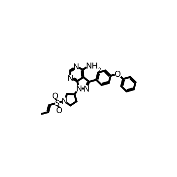 C/C=C/S(=O)(=O)N1CCC(n2nc(-c3ccc(Oc4ccccc4)cc3)c3c(N)ncnc32)C1